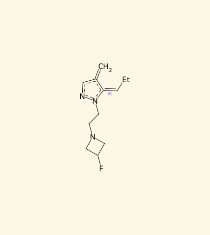 C=c1cnn(CCN2CC(F)C2)/c1=C/CC